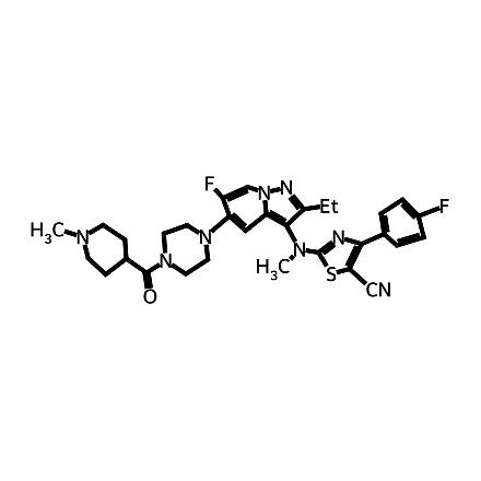 CCc1nn2cc(F)c(N3CCN(C(=O)C4CCN(C)CC4)CC3)cc2c1N(C)c1nc(-c2ccc(F)cc2)c(C#N)s1